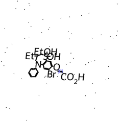 CCC1(CC)CN(c2ccccc2)c2cc(Br)c(O/C=C/C(=O)O)cc2S(O)(O)C1